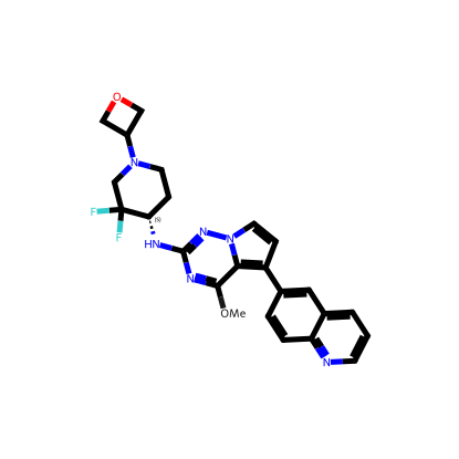 COc1nc(N[C@H]2CCN(C3COC3)CC2(F)F)nn2ccc(-c3ccc4ncccc4c3)c12